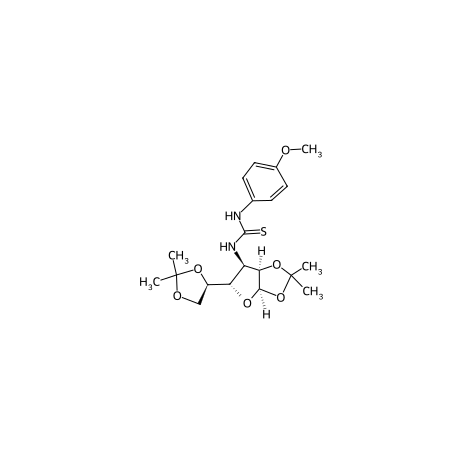 COc1ccc(NC(=S)N[C@H]2[C@H]3OC(C)(C)O[C@H]3O[C@@H]2[C@H]2COC(C)(C)O2)cc1